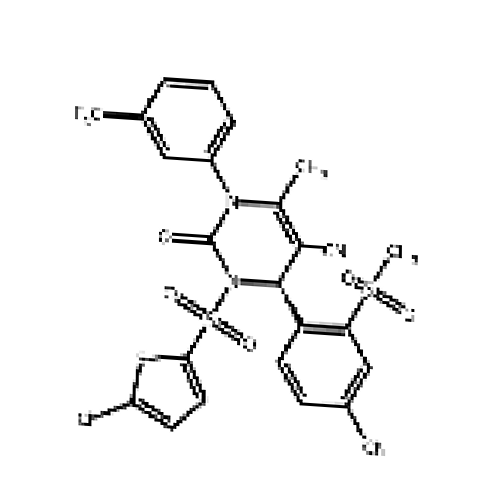 CC1=C(C#N)[C@@H](c2ccc(C#N)cc2S(C)(=O)=O)N(S(=O)(=O)c2ccc(Cl)s2)C(=O)N1c1cccc(C(F)(F)F)c1